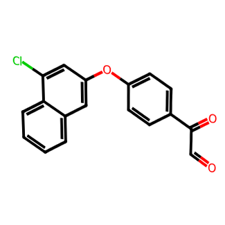 O=CC(=O)c1ccc(Oc2cc(Cl)c3ccccc3c2)cc1